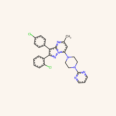 Cc1cc(N2CCN(c3ncccn3)CC2)n2nc(-c3ccccc3Cl)c(-c3ccc(Cl)cc3)c2n1